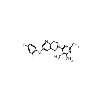 Cc1nc(C)c(C)c(N2CCc3ncc(Oc4ccc(F)cc4F)cc3C2)n1